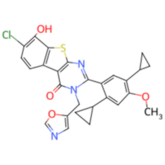 COc1cc(C2CC2)c(-c2nc3sc4c(O)c(Cl)ccc4c3c(=O)n2Cc2cnco2)cc1C1CC1